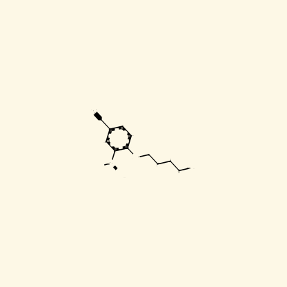 N#Cc1ccc(OCCCCBr)c([N+](=O)[O-])c1